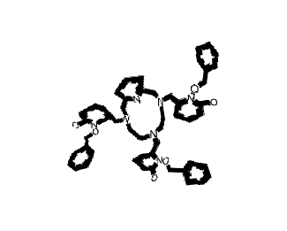 O=c1cccc(CN2CCN(Cc3cccc(=O)n3OCc3ccccc3)Cc3cccc(n3)CN(Cc3cccc(=O)n3OCc3ccccc3)CC2)n1OCc1ccccc1